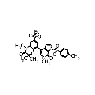 CCS(=O)(=O)c1cc(-c2cn(C)c(=O)c3c2ccn3S(=O)(=O)c2ccc(C)cc2)c2c(c1)N(C)C(=O)C(C)(C)O2